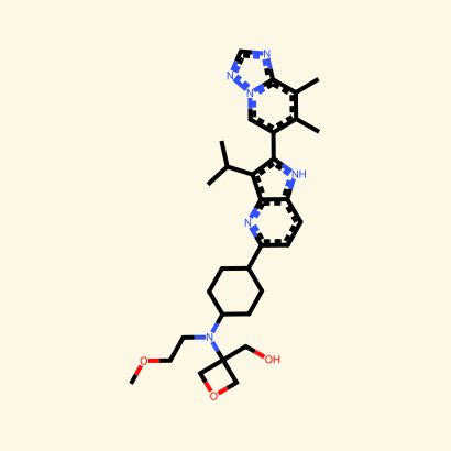 COCCN(C1CCC(c2ccc3[nH]c(-c4cn5ncnc5c(C)c4C)c(C(C)C)c3n2)CC1)C1(CO)COC1